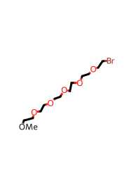 COCCOCCOCCOCCOCCOCCBr